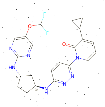 O=c1c(C2CC2)cccn1-c1ccc(N[C@H]2CC[C@H](Nc3ncc(OC(F)F)cn3)C2)nn1